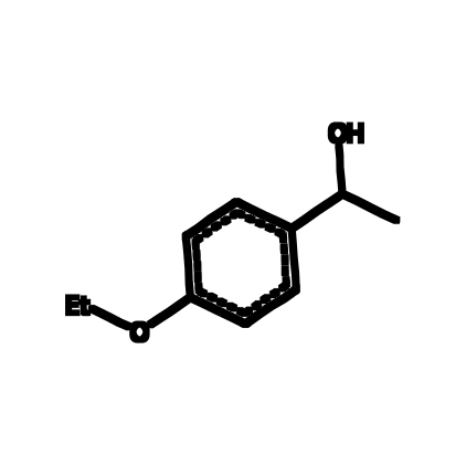 CCOc1ccc(C(C)O)cc1